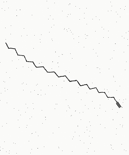 [C]#CCCCCCCCCCCCCCCCCCCCCCCC